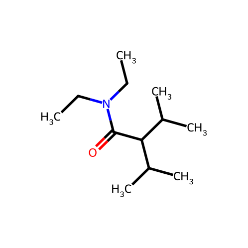 CCN(CC)C(=O)C(C(C)C)C(C)C